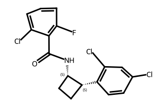 O=C(N[C@H]1CC[C@H]1c1ccc(Cl)cc1Cl)c1c(F)cccc1Cl